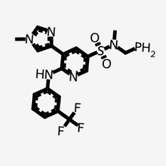 CN(CP)S(=O)(=O)c1cnc(Nc2cccc(C(F)(F)F)c2)c(-c2cn(C)cn2)c1